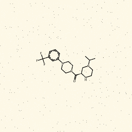 CC(C)N1CCN[C@@H](C(=O)N2CCN(c3cccc(C(F)(F)F)c3)CC2)C1